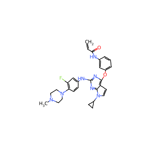 C=CC(=O)Nc1cccc(Oc2nc(Nc3ccc(N4CCN(C)CC4)c(F)c3)nc3c2ccn3C2CC2)c1